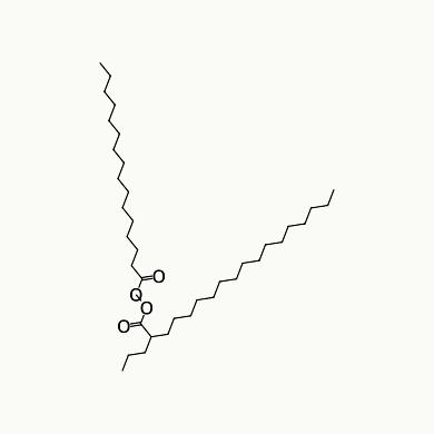 CCCCCCCCCCCCCCCCC(CCC)C(=O)OOC(=O)CCCCCCCCCCCCCCC